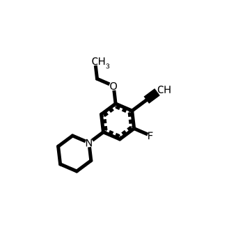 C#Cc1c(F)cc(N2CCCCC2)cc1OCC